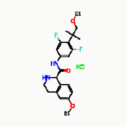 CCOCC(C)(C)c1c(F)cc(NC(=O)[C@@H]2NCCc3cc(OCC)ccc32)cc1F.Cl